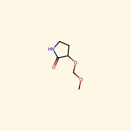 COCOC1CCNC1=O